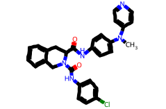 CN(c1ccncc1)c1ccc(NC(=O)C2Cc3ccccc3CN2C(=O)Nc2ccc(Cl)cc2)cc1